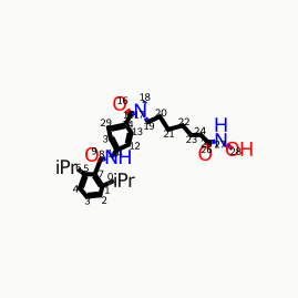 CC(C)c1cccc(C(C)C)c1C(=O)Nc1ccc(C(=O)N(C)CCCCCCC(=O)NO)cc1